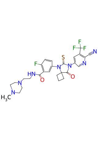 CN1CCN(CCNC(=O)c2cc(N3C(=S)N(c4cnc(C#N)c(C(F)(F)F)c4)C(=O)C34CCC4)ccc2F)CC1